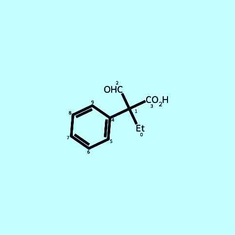 CCC(C=O)(C(=O)O)c1ccccc1